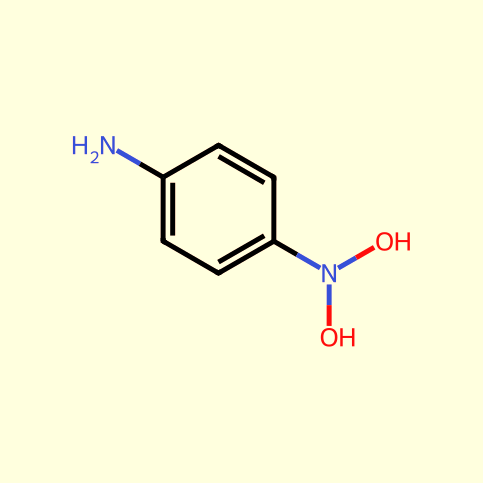 Nc1ccc(N(O)O)cc1